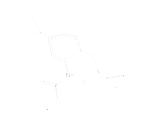 COc1ccc(CC(=O)C2CC2)c(NC(=O)OC(C)(C)C)c1